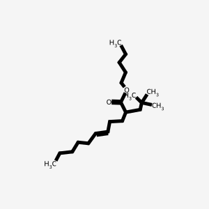 CCCCC/C=C/CCC(CC(C)(C)C)C(=O)OCCCCC